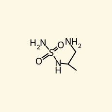 CC(CN)NS(N)(=O)=O